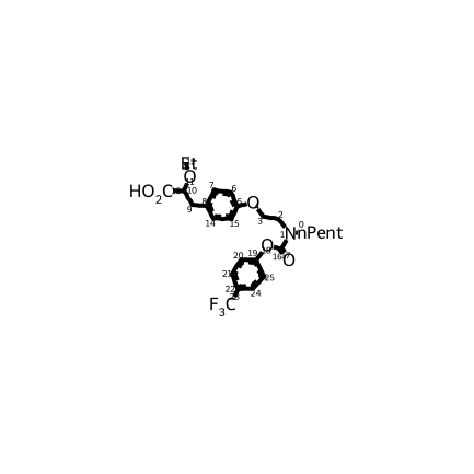 CCCCCN(CCOc1ccc(CC(OCC)C(=O)O)cc1)C(=O)Oc1ccc(C(F)(F)F)cc1